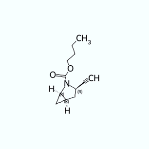 C#C[C@H]1C[C@H]2C[C@H]2N1C(=O)OCCCC